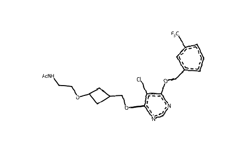 CC(=O)NCCOC1CC(COc2ncnc(OCc3cccc(C(F)(F)F)c3)c2Cl)C1